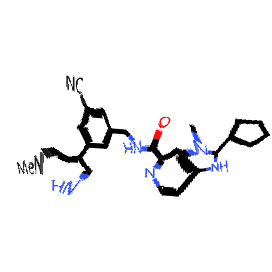 CN/C=C(\C=N)c1cc(C#N)cc(CNC(=O)c2nccc3c2N(C)C(C2CCCC2)N3)c1